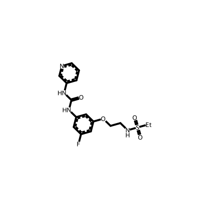 CCS(=O)(=O)NCCOc1cc(F)cc(NC(=O)Nc2cccnc2)c1